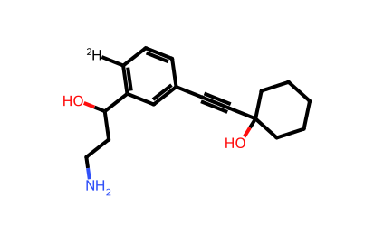 [2H]c1ccc(C#CC2(O)CCCCC2)cc1C(O)CCN